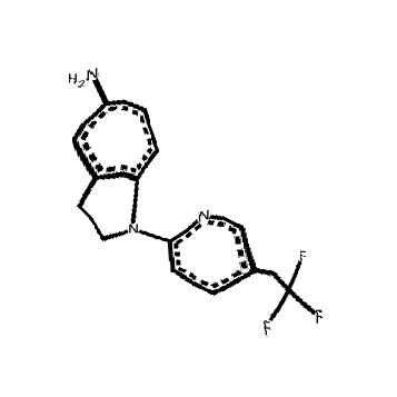 Nc1ccc2c(c1)CCN2c1ccc(C(F)(F)F)cn1